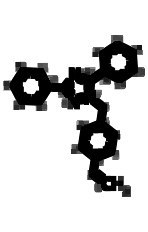 C=Cc1ccc(Cn2nc(-c3ccccc3)nc2-c2ccccc2)cc1